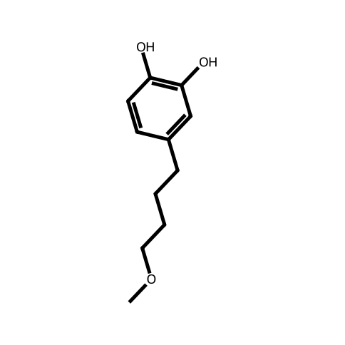 COCCCCc1ccc(O)c(O)c1